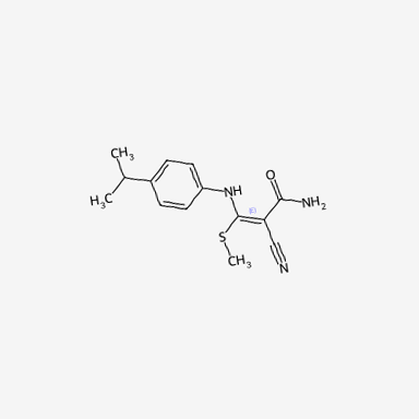 CS/C(Nc1ccc(C(C)C)cc1)=C(\C#N)C(N)=O